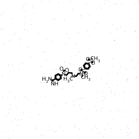 CN(CCN(C)S(=O)(=O)c1ccc(S(C)(=O)=O)cc1)CC1CN(c2ccc(C(=N)N)cc2)C(=O)O1